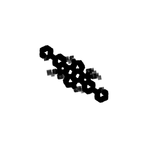 Cc1ccc2c3c(c4c(C)ccc5c6c(c1c2c54)-c1ccc(-c2ccccn2)cc1C6(C)C)-c1ccc(-c2ccccn2)cc1C3(C)C